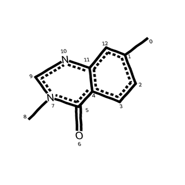 Cc1ccc2c(=O)n(C)cnc2c1